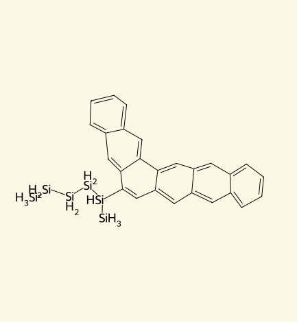 [SiH3][SiH2][SiH2][SiH2][SiH]([SiH3])c1cc2cc3cc4ccccc4cc3cc2c2cc3ccccc3cc12